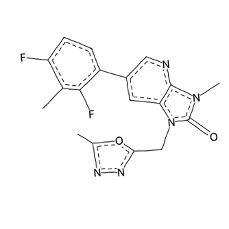 Cc1nnc(Cn2c(=O)n(C)c3ncc(-c4ccc(F)c(C)c4F)cc32)o1